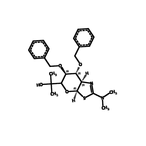 CN(C)C1=N[C@@H]2[C@@H](OCc3ccccc3)[C@H](OCc3ccccc3)C(C(C)(C)O)O[C@@H]2S1